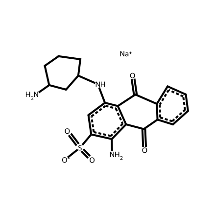 Nc1c(S(=O)(=O)[O-])cc(NC2CCCC(N)C2)c2c1C(=O)c1ccccc1C2=O.[Na+]